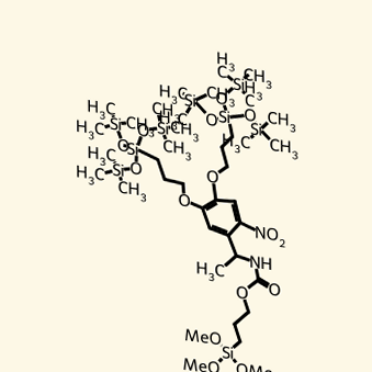 CO[Si](CCCOC(=O)NC(C)c1cc(OCCC[Si](O[Si](C)(C)C)(O[Si](C)(C)C)O[Si](C)(C)C)c(OCCC[Si](O[Si](C)(C)C)(O[Si](C)(C)C)O[Si](C)(C)C)cc1[N+](=O)[O-])(OC)OC